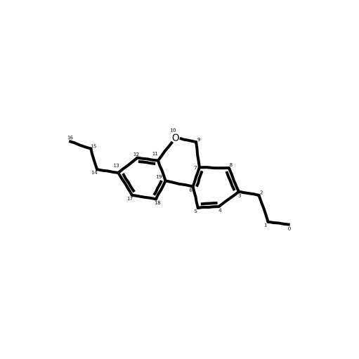 CCCc1ccc2c(c1)COc1cc(CCC)ccc1-2